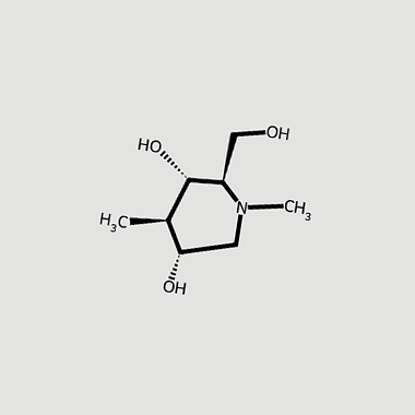 C[C@H]1[C@H](O)[C@@H](CO)N(C)C[C@@H]1O